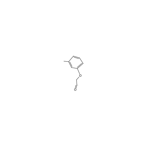 Cc1cccc(OC[C]=O)c1